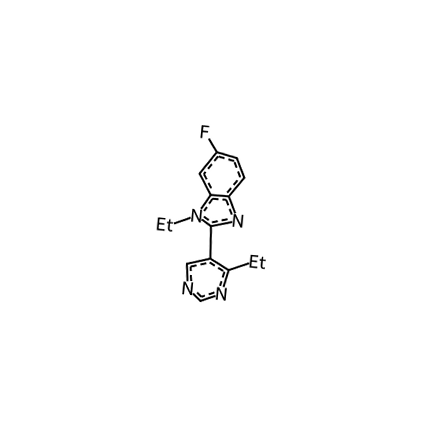 CCc1ncncc1-c1nc2ccc(F)cc2n1CC